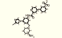 Cc1cn(-c2cc(CN3CCC[C@H](N)C3)cc(NC(=O)c3cc(-c4cccc(S(C)(=O)=O)c4)ccn3)c2)cn1